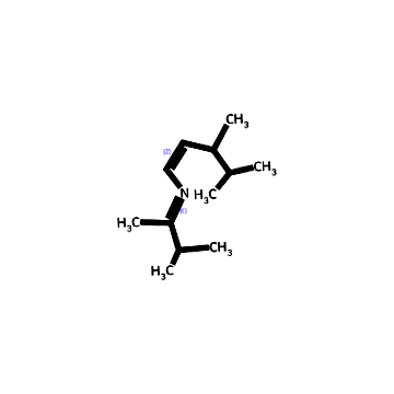 C/C(=N\C=C/C(C)C(C)C)C(C)C